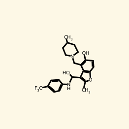 Cc1oc2ccc(O)c(CN3CCC(C)CC3)c2c1C(O)Nc1ccc(C(F)(F)F)cc1